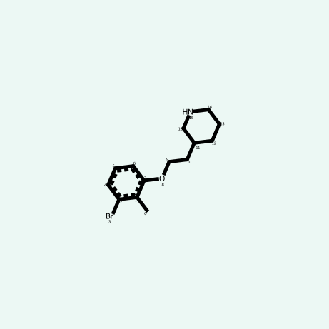 Cc1c(Br)cccc1OCCC1CCCNC1